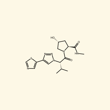 CNC(=O)[C@@H]1C[C@@H](O)CN1C(=O)[C@H](C(C)C)n1cc(-c2cncs2)nn1